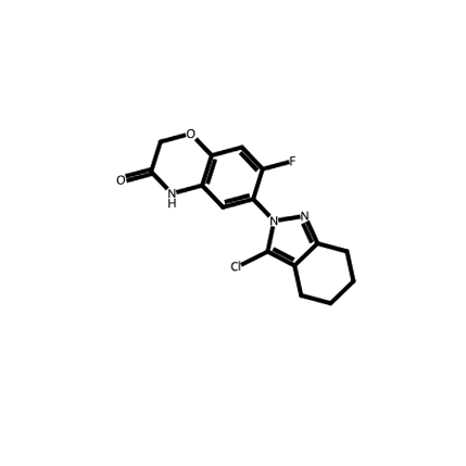 O=C1COc2cc(F)c(-n3nc4c(c3Cl)CCCC4)cc2N1